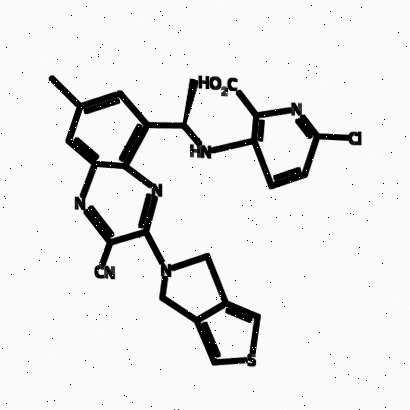 Cc1cc([C@@H](C)Nc2ccc(Cl)nc2C(=O)O)c2nc(N3Cc4cscc4C3)c(C#N)nc2c1